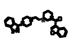 O=C(c1coc2ccccc12)N1CCC[C@@H](CCN2CCN(c3nsc4ccccc34)CC2)C1